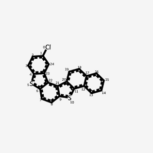 Clc1ccc2sc3ccc4sc5c6ccccc6ccc5c4c3c2c1